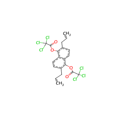 C=CCc1ccc2c(OC(=O)C(Cl)(Cl)Cl)c(CC=C)ccc2c1OC(=O)C(Cl)(Cl)Cl